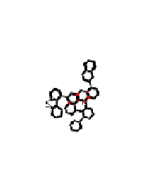 c1ccc(-c2ccccc2-c2c(-c3ccccc3)cccc2N(c2ccc(-c3cccc4sc5ccccc5c34)cc2)c2cccc(-c3ccc4ccccc4c3)c2)cc1